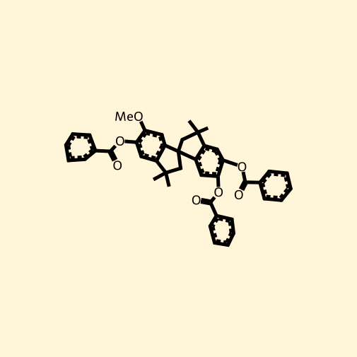 COc1cc2c(cc1OC(=O)c1ccccc1)C(C)(C)CC21CC(C)(C)c2cc(OC(=O)c3ccccc3)c(OC(=O)c3ccccc3)cc21